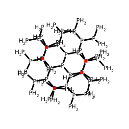 PPP(P(P)P)P(P(P)P)P(P(P(P(P)P)P(P)P)P(P(P)P)P(P)P)P(P(P(P(P)P)P(P)P)P(P(P)P)P(P)P)P(P(P(P)P)P(P)P)P(P(P)P)P(P)P